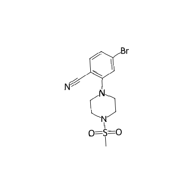 CS(=O)(=O)N1CCN(c2cc(Br)ccc2C#N)CC1